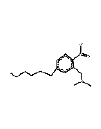 CN(C)Cc1cc(CCCCCI)ccc1[N+](=O)[O-]